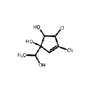 CC(O)C1(O)C=C(C#N)C(Cl)C1O